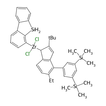 CCc1ccc2c(c1-c1cc([Si](C)(C)C)cc([Si](C)(C)C)c1)C=C(C(C)(C)C)[CH]2[Zr]([Cl])([Cl])[c]1cccc2c1[SiH2]c1ccccc1-2